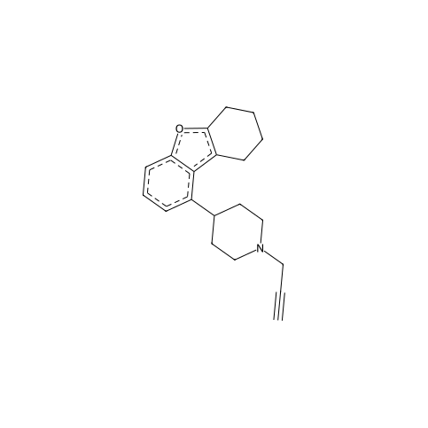 C#CCN1CCC(c2cccc3oc4c(c23)CCCC4)CC1